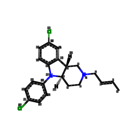 C/C=C/CN1CC[C@@H]2[C@@H](C1)c1cc(Cl)ccc1N2c1ccc(Cl)cc1